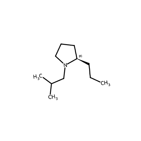 CCC[C@@H]1CCCN1CC(C)C